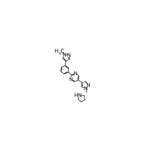 Cn1cc(-c2cccc(-c3ncc(-c4cnn(C[C@@H]5CCCN5)c4)cn3)c2)cn1